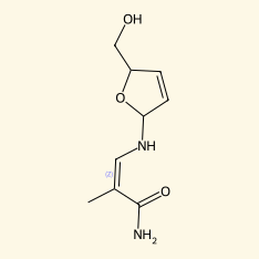 C/C(=C/NC1C=CC(CO)O1)C(N)=O